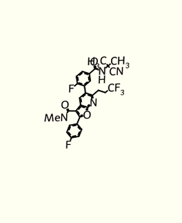 CNC(=O)c1c(-c2ccc(F)cc2)oc2nc(CCC(F)(F)F)c(-c3cc(C(=O)NC(C)(C)C#N)ccc3F)cc12